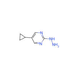 NNc1ncc(C2CC2)cn1